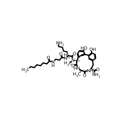 CCCCCCCC(=O)NCCC(=O)N[C@@H](CCCCN)C(=O)N(C)[C@@H]1C(=O)N[C@@H](C)C(=O)N[C@H](C(N)=O)Cc2ccc(O)c(c2)-c2cc1ccc2O